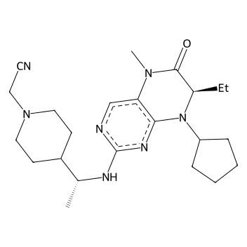 CC[C@@H]1C(=O)N(C)c2cnc(N[C@H](C)C3CCN(CC#N)CC3)nc2N1C1CCCC1